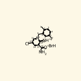 Br.Cc1ccc(F)cc1Cn1cc(Cl)cc(C(N)=O)c1=N